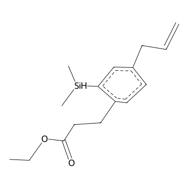 C=CCc1ccc(CCC(=O)OCC)c([SiH](C)C)c1